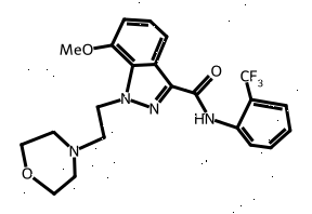 COc1cccc2c(C(=O)Nc3ccccc3C(F)(F)F)nn(CCN3CCOCC3)c12